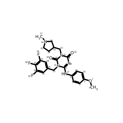 COc1ccc(Nc2nc(=O)n(CC3CCN(C)C3)c(=O)n2Cc2cc(F)c(F)c(F)c2)cc1